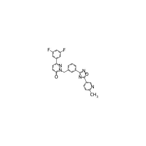 Cc1ccc(-c2nc(-c3cccc(Cn4nc(-c5cc(F)cc(F)c5)ccc4=O)c3)no2)cn1